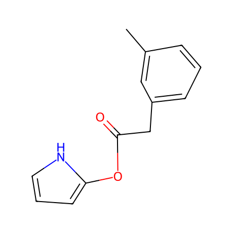 Cc1cccc(CC(=O)Oc2ccc[nH]2)c1